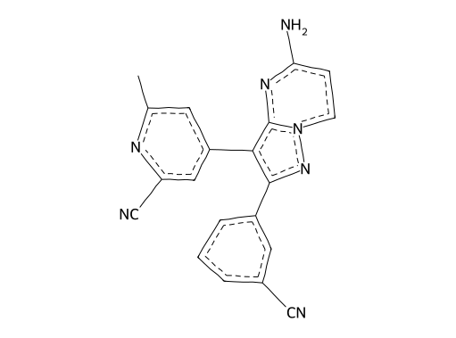 Cc1cc(-c2c(-c3cccc(C#N)c3)nn3ccc(N)nc23)cc(C#N)n1